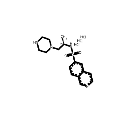 C[C@H](CN1CCNCC1)NS(=O)(=O)c1ccc2cnccc2c1.Cl.Cl.Cl